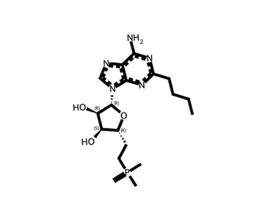 C=P(C)(C)CC[C@H]1O[C@@H](n2cnc3c(N)nc(CCCC)nc32)[C@H](O)[C@@H]1O